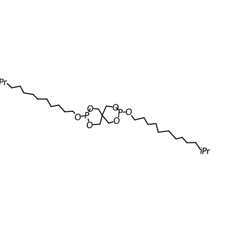 CC(C)CCCCCCCCCCOP1OCC2(CO1)COP(OCCCCCCCCCCC(C)C)OC2